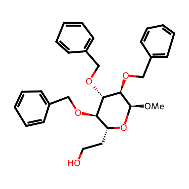 CO[C@H]1O[C@H](CCO)[C@@H](OCc2ccccc2)[C@H](OCc2ccccc2)[C@H]1OCc1ccccc1